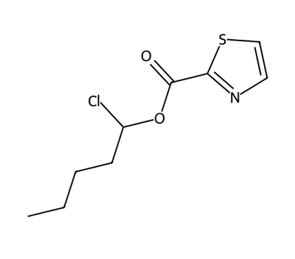 CCCCC(Cl)OC(=O)c1nccs1